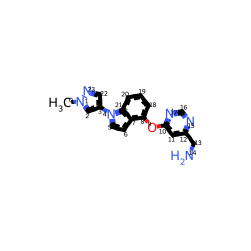 Cn1cc(-n2ccc3c(Oc4cc(CN)ncn4)cccc32)cn1